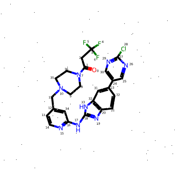 O=C(CC(F)(F)F)N1CCN(Cc2ccnc(Nc3nc4ccc(-c5cnc(Cl)nc5)cc4[nH]3)c2)CC1